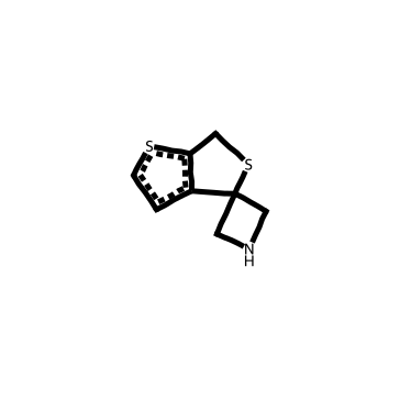 c1cc2c(s1)CSC21CNC1